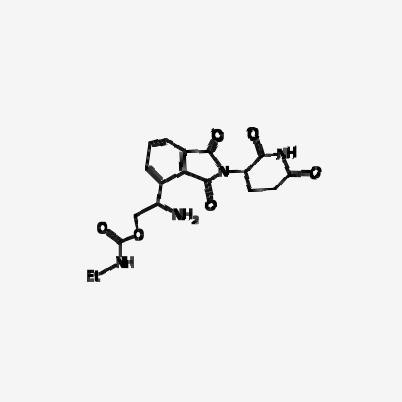 CCNC(=O)OCC(N)c1cccc2c1C(=O)N(C1CCC(=O)NC1=O)C2=O